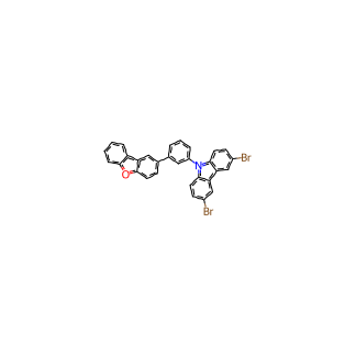 Brc1ccc2c(c1)c1cc(Br)ccc1n2-c1cccc(-c2ccc3oc4ccccc4c3c2)c1